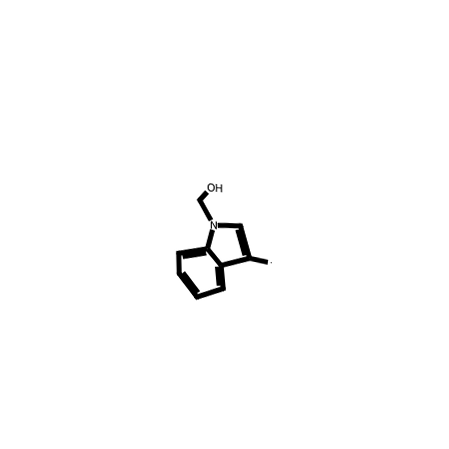 [CH2]c1cn(CO)c2ccccc12